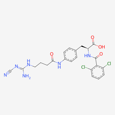 N#C/N=C(\N)NCCCC(=O)Nc1ccc(C[C@H](NC(=O)c2c(Cl)cccc2Cl)C(=O)O)cc1